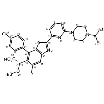 CCC(CC)N1CCN(c2nccc(-c3nc4cc(C)c([C@H](OC(C)(C)C)C(=O)O)c(-c5ccc(Cl)cc5)c4s3)n2)CC1